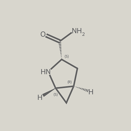 NC(=O)[C@@H]1C[C@H]2C[C@@H]2N1